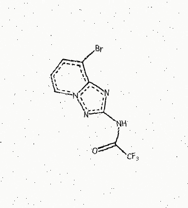 O=C(Nc1nc2c(Br)cccn2n1)C(F)(F)F